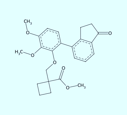 COC(=O)C1(COc2c(-c3cccc4c3CCC4=O)ccc(OC)c2OC)CCC1